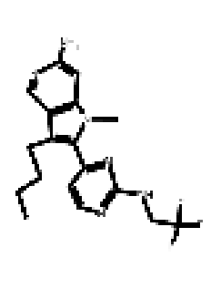 CCCCc1c(-c2ccnc(NCC(F)(F)F)n2)n(C)c2cc(N)ncc12